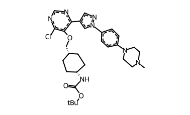 CN1CCN(c2ccc(-n3cc(-c4ncnc(Cl)c4OC[C@H]4CC[C@@H](NC(=O)OC(C)(C)C)CC4)cn3)cc2)CC1